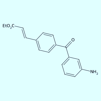 CCOC(=O)C=Cc1ccc(C(=O)c2cccc(N)c2)cc1